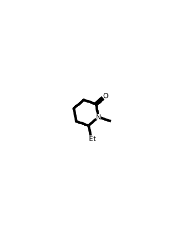 CCC1CCCC(=O)N1C